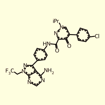 CC(C)n1cc(-c2ccc(Cl)cc2)c(=O)c(C(=O)Nc2ccc(-c3nn(CC(F)(F)F)c4ncnc(N)c34)cc2)n1